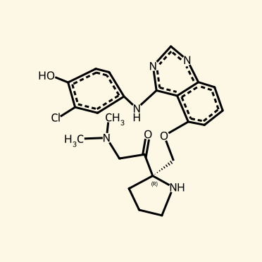 CN(C)CC(=O)[C@]1(COc2cccc3ncnc(Nc4ccc(O)c(Cl)c4)c23)CCCN1